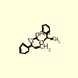 C=CC(OC(CCCCC)OC(C=C)c1ccccc1)c1ccccc1